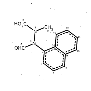 CN(C(=O)O)N(C=O)c1cccc2ccccc12